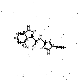 N#Cc1cc(NC(=O)c2n[nH]c3ncnc(N)c23)n[nH]1